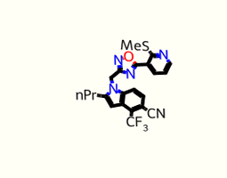 CCCc1cc2c(C(F)(F)F)c(C#N)ccc2n1Cc1noc(-c2cccnc2SC)n1